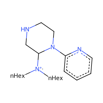 CCCCCC[N+](CCCCCC)C1CNCCN1c1ccccn1